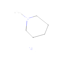 CC(C)(C)N1CCC[C@H](N)C1